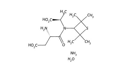 C[C@H](C(=O)O)N(C(=O)[C@@H](N)CC(=O)O)C1C(C)(C)SC1(C)C.N.O